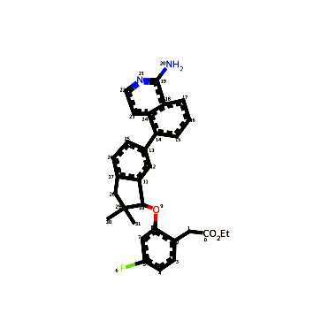 CCOC(=O)Cc1ccc(F)cc1OC1c2cc(-c3cccc4c(N)nccc34)ccc2CC1(C)C